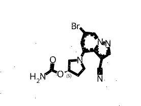 N#Cc1cnn2cc(Br)cc(N3CC[C@H](OC(N)=O)C3)c12